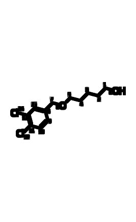 OCCCCCOCc1ccc(Cl)c(Cl)c1